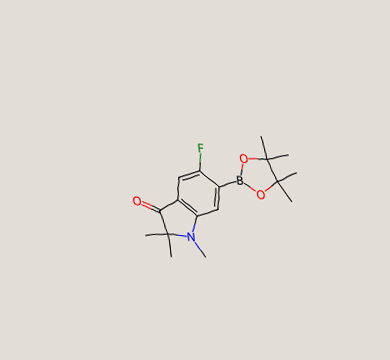 CN1c2cc(B3OC(C)(C)C(C)(C)O3)c(F)cc2C(=O)C1(C)C